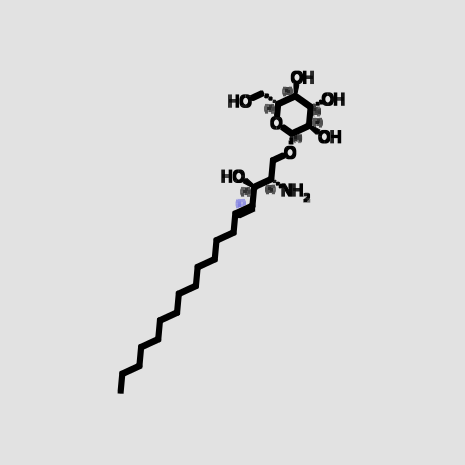 CCCCCCCCCCCCC/C=C/[C@@H](O)[C@@H](N)CO[C@@H]1O[C@H](CO)[C@@H](O)[C@H](O)[C@H]1O